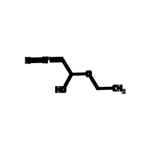 CCOC(O)C=[N+]=[N-]